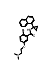 CN(C)CCOc1ccc(Br)c(C(=O)NC2(c3cccc4ccccc34)CC2)c1